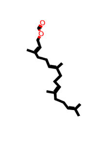 CC(C)=CCCC(C)=CCCC(C)=CCCC(C)=CCOC=O